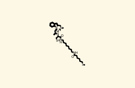 C=C(CCn1c(CN(C)N)cc2ccccc21)NC(CS)C(=O)NCCCCCCCCNC(=O)CCCCCSC